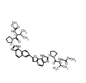 COC(=O)N[C@H](C(=O)N1CCC[C@H]1c1nc2ccc3cc(-c4cc5ccc6nc([C@@H]7CCCN7C(=O)[C@@H](NC(=O)OC)C(C)C)[nH]c6c5o4)ccc3c2[nH]1)C(C)C